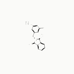 N#Cc1cc(F)cc(CN2C(=O)c3ccccc3C2=O)c1